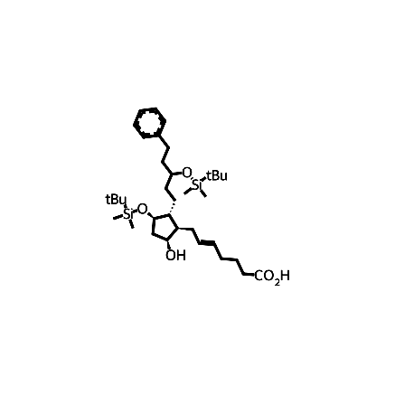 CC(C)(C)[Si](C)(C)OC(CCc1ccccc1)CC[C@@H]1[C@@H](CC=CCCCC(=O)O)[C@@H](O)C[C@H]1O[Si](C)(C)C(C)(C)C